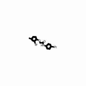 Cc1ccc(OCC(=O)Nc2ccc(C(C)C)cc2)c(Br)c1